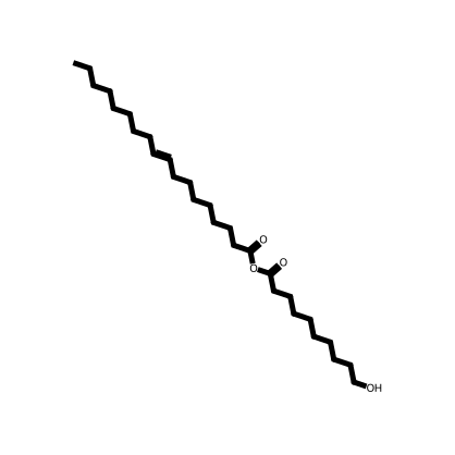 CCCCCCCCC=CCCCCCCCC(=O)OC(=O)CCCCCCCCCO